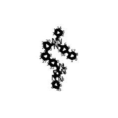 c1ccc(-c2ccc(-c3nc(-c4ccccc4)nc(-c4cccc(-c5cccc(-c6ccc(-c7ncnc8c7sc7nc9ccccc9nc78)cc6)c5)c4)n3)cc2)cc1